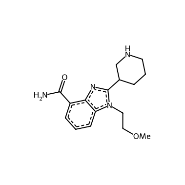 COCCn1c(C2CCCNC2)nc2c(C(N)=O)cccc21